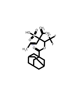 C=C(C)C(/C=C/C)(C(OC(=O)C12CC3CC(CC(C3)C1)C2)C(F)(F)F)S(=O)(=O)O